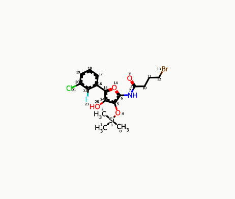 C[Si](C)(C)Oc1c(NC(=O)CCCBr)oc(-c2cccc(Cl)c2F)c1O